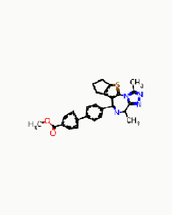 COC(=O)c1ccc(-c2ccc(C3=NC(C)c4nnc(C)n4-c4sc5c(c43)CCC5)cc2)cc1